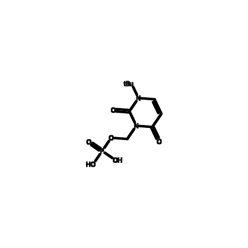 CC(C)(C)n1ccc(=O)n(COP(=O)(O)O)c1=O